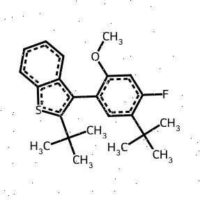 COc1cc(F)c(C(C)(C)C)cc1-c1c(C(C)(C)C)sc2ccccc12